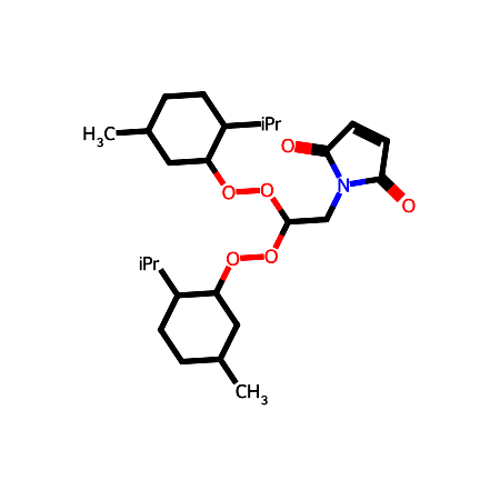 CC1CCC(C(C)C)C(OOC(CN2C(=O)C=CC2=O)OOC2CC(C)CCC2C(C)C)C1